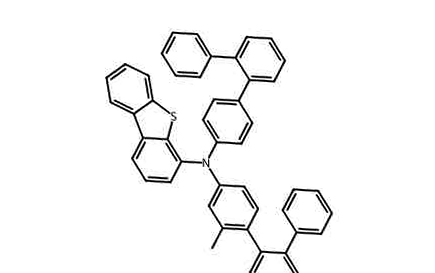 Cc1cc(N(c2ccc(-c3ccccc3-c3ccccc3)cc2)c2cccc3c2sc2ccccc23)ccc1-c1ccccc1-c1ccccc1